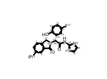 CC(C)c1ccc2c(c1)C(=O)N([C@@H](C(=O)Nc1nccs1)c1cc(F)ccc1O)C2